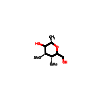 CO[C@@H]1C(O)[C@H](C)OC(CO)[C@@H]1OC